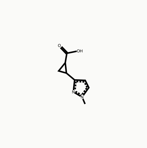 Cn1ccc(C2CC2C(=O)O)n1